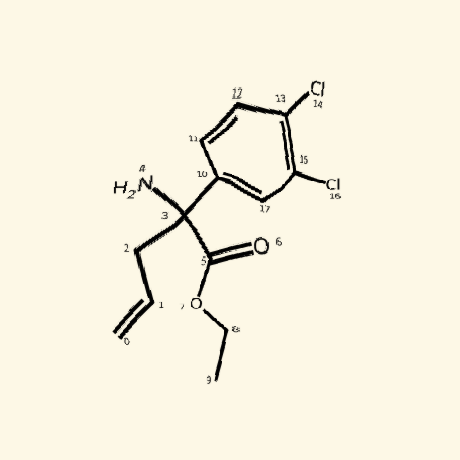 C=CCC(N)(C(=O)OCC)c1ccc(Cl)c(Cl)c1